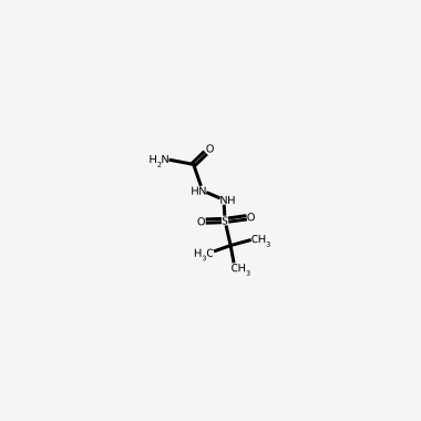 CC(C)(C)S(=O)(=O)NNC(N)=O